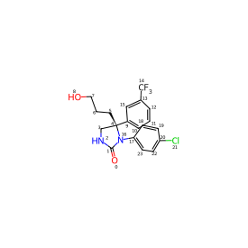 O=C1NC[C@](CCCO)(c2cccc(C(F)(F)F)c2)N1c1ccc(Cl)cc1